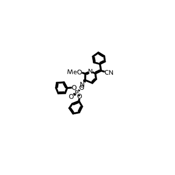 COC1=NC(=C(C#N)c2ccccc2)C=CC1=NOP(=O)(Oc1ccccc1)Oc1ccccc1